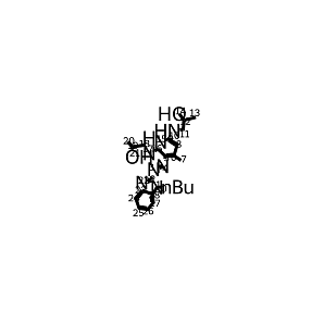 CCCCn1c(N=Nc2c(C)cc(NCC(C)O)nc2NCC(C)O)nc2ccccc21